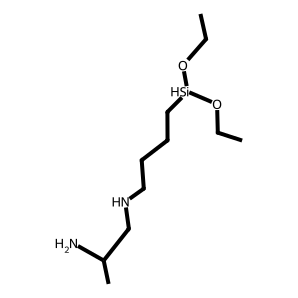 CCO[SiH](CCCCNCC(C)N)OCC